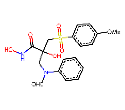 COc1ccc(S(=O)(=O)CC(O)(CN(C=O)c2ccccc2)C(=O)NO)cc1